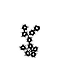 c1ccc(-c2ccc(N(c3ccc(-c4ccc5c(c4)N(c4ccccc4)c4ccccc4[Si]5(c4ccccc4)c4ccccc4)cc3)c3cccc4c3sc3ccccc34)cc2)cc1